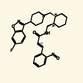 O=Nc1ccccc1/C=C/C(=O)NC[C@@H]1CCCC[C@H]1CN1CCC(c2noc3cc(F)ccc23)CC1